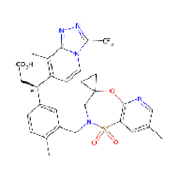 Cc1cnc2c(c1)S(=O)(=O)N(Cc1cc([C@@H](CC(=O)O)c3ccn4c(C(F)(F)F)nnc4c3C)ccc1C)CC1(CC1)O2